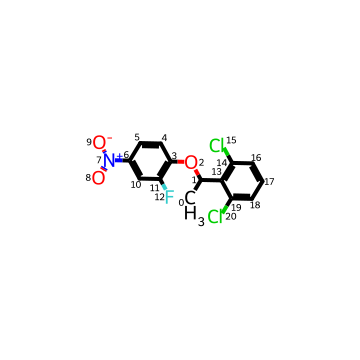 CC(Oc1ccc([N+](=O)[O-])cc1F)c1c(Cl)cccc1Cl